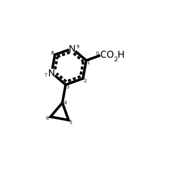 O=C(O)c1cc(C2CC2)ncn1